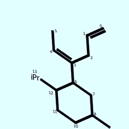 C=CCC(=CC)C1CC(C)CCC1C(C)C